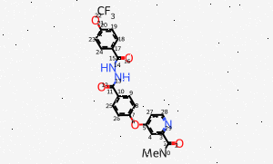 CNC(=O)c1cc(Oc2ccc(C(=O)NNC(=O)c3ccc(OC(F)(F)F)cc3)cc2)ccn1